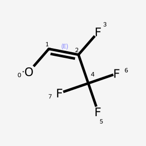 [O]/C=C(/F)C(F)(F)F